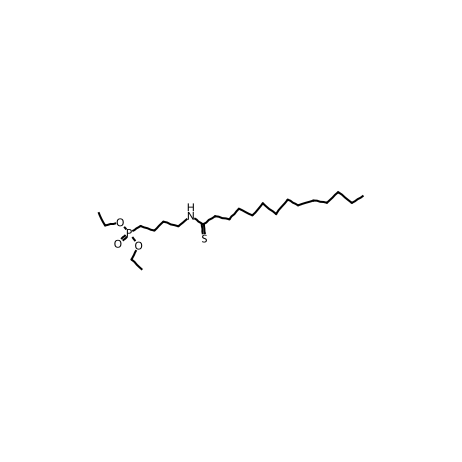 CCCCCCCCCCCCCC(=S)NCCCCP(=O)(OCC)OCC